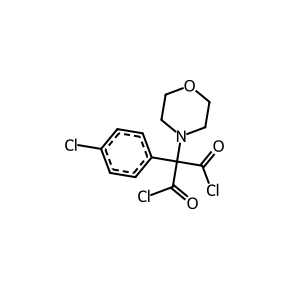 O=C(Cl)C(C(=O)Cl)(c1ccc(Cl)cc1)N1CCOCC1